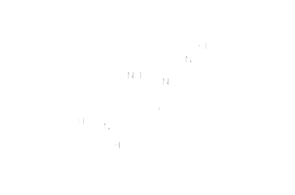 CN(C)Cc1c(C(=O)N2CCN(C)CC2)[nH]c2ccccc12